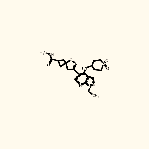 CCn1ncc2c(NC3CCS(=O)(=O)CC3)c(C3=NOC4(C3)CC(C(=O)NC)C4)cnc21